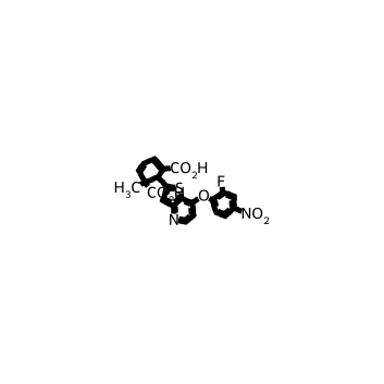 CC1(C(=O)O)C=CC=C(C(=O)O)C1c1cc2nccc(Oc3ccc([N+](=O)[O-])cc3F)c2s1